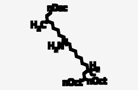 C=C(CCCCCCCCCCCC)CCCCCN(N)CCCCCCCC(=C)CC(CCCCCCCC)CCCCCCCC